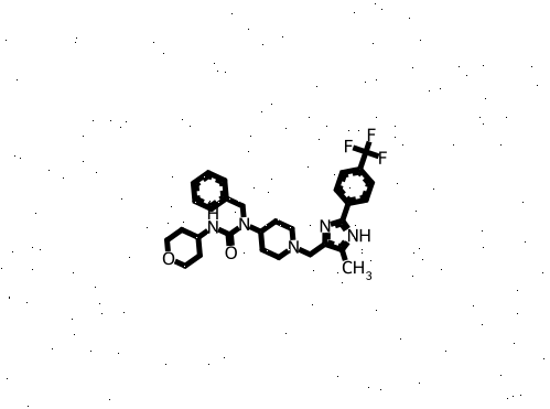 Cc1[nH]c(-c2ccc(C(F)(F)F)cc2)nc1CN1CCC(N(Cc2ccccc2)C(=O)NC2CCOCC2)CC1